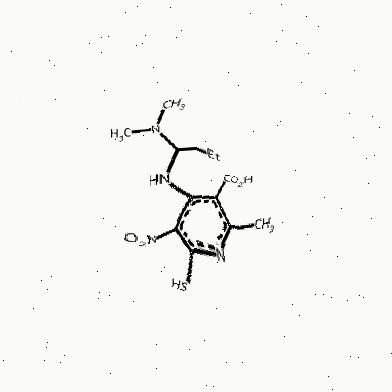 CCC(Nc1c(C(=O)O)c(C)nc(S)c1[N+](=O)[O-])N(C)C